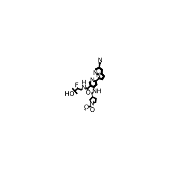 COC(=O)N1CC[C@H](CNc2cc(-c3ccc4cc(C#N)cnn34)ncc2C(=O)NC[C@@H](F)C(C)(C)O)C1